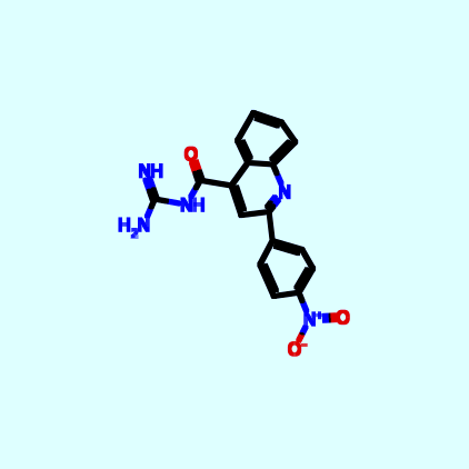 N=C(N)NC(=O)c1cc(-c2ccc([N+](=O)[O-])cc2)nc2ccccc12